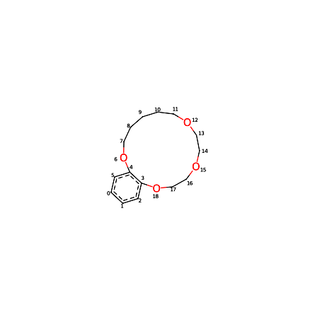 c1ccc2c(c1)OCCCCCOCCOCCO2